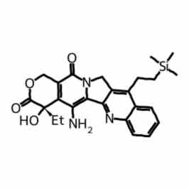 CC[C@@]1(O)C(=O)OCc2c1c(N)c1n(c2=O)Cc2c-1nc1ccccc1c2CC[Si](C)(C)C